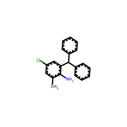 Cc1cc(Cl)cc(C(c2ccccc2)c2ccccc2)c1N